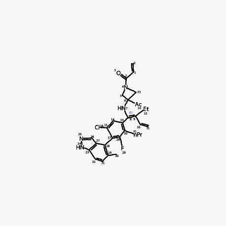 C=CC(=O)N1CC(N/C(=C(/C=C)CC)c2cc(Cl)c(-c3c(C)ccc4[nH]ncc34)c(F)c2CCC)(C(C)=O)C1